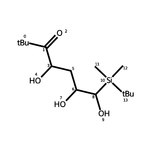 CC(C)(C)C(=O)C(O)CC(O)C(O)[Si](C)(C)C(C)(C)C